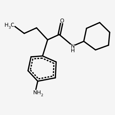 CCCC(C(=O)NC1CCCCC1)c1ccc(N)cc1